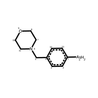 [AsH2]c1ccc(CN2CCOCC2)cc1